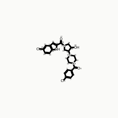 O=C(c1ccc(Cl)cc1)N1CCN(C2CN(C(=O)c3cc4cc(Cl)ccc4[nH]3)CC2O)CC1